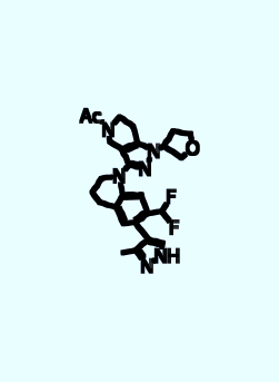 CC(=O)N1CCc2c(c(N3CCCc4cc(-c5c[nH]nc5C)c(C(F)F)cc43)nn2C2CCOC2)C1